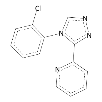 Clc1ccccc1-n1cnnc1-c1ccccn1